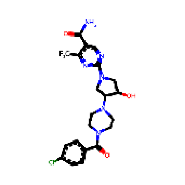 NC(=O)c1cnc(N2CC(O)C(N3CCN(C(=O)c4ccc(Cl)cc4)CC3)C2)nc1C(F)(F)F